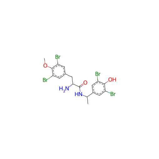 COc1c(Br)cc(CC(N)C(=O)NC(C)c2cc(Br)c(O)c(Br)c2)cc1Br